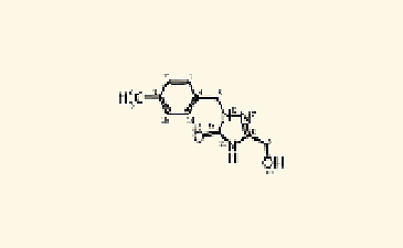 Cc1ccc(Cn2nc(CO)[nH]c2=O)cc1